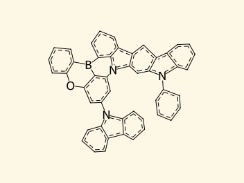 c1ccc(-n2c3ccccc3c3cc4c5cccc6c5n(c4cc32)-c2cc(-n3c4ccccc4c4ccccc43)cc3c2B6c2ccccc2O3)cc1